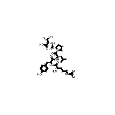 CC(C)C[C@H](NC(=O)[C@H](Cc1ccc(O)cc1)NC(=O)[C@@H](N)CCCNC(=N)N)C(=O)N1CCC[C@H]1C(=O)N[C@H](C(=O)O)[C@@H](C)O